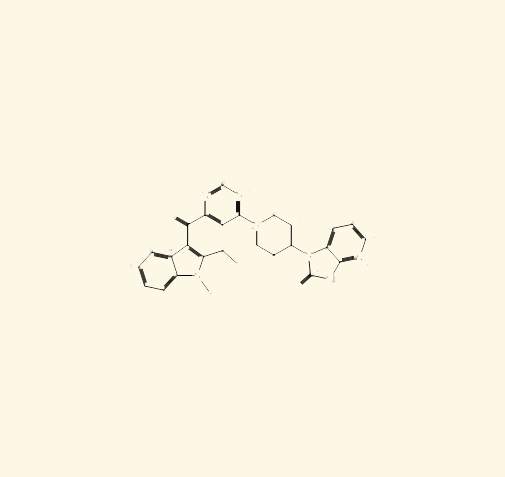 CCc1c(C(=O)c2cc(N3CCC(n4c(=O)[nH]c5ncccc54)CC3)ncn2)c2ccccc2n1C